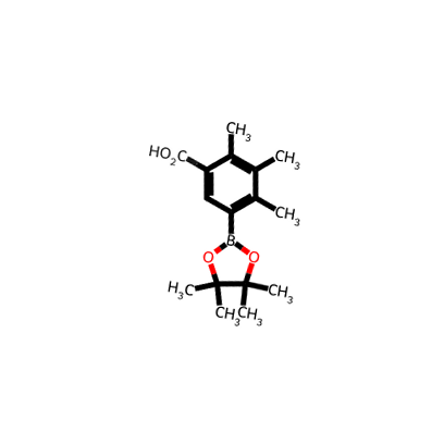 Cc1c(B2OC(C)(C)C(C)(C)O2)cc(C(=O)O)c(C)c1C